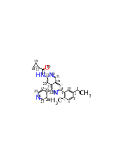 CCc1ccc(C)c(-c2cc3cnc(NC(=O)C4CC4)cc3c(-c3ccncc3)n2)c1